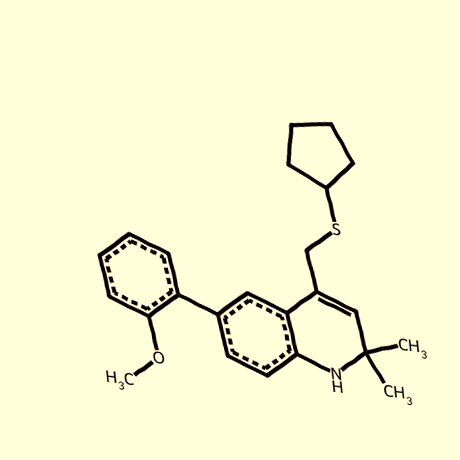 COc1ccccc1-c1ccc2c(c1)C(CSC1CCCC1)=CC(C)(C)N2